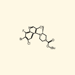 C[C@H]1CN(C(=O)OC(C)(C)C)CCN1c1c(C#N)cnc2c(F)c(Br)c(Cl)cc12